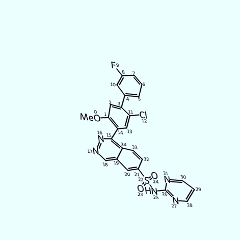 COc1cc(-c2cccc(F)c2)c(Cl)cc1-c1nncc2cc(S(=O)(=O)Nc3ncccn3)ccc12